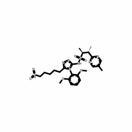 COc1cccc(OC)c1-n1c(CCCCC[SH](=O)=O)nnc1NS(=O)(=O)[C@@H](C)[C@H](C)c1ncc(C)cn1